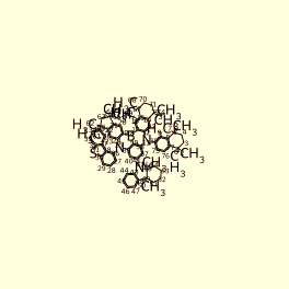 CC1(C)CCC(C)(C)c2cc(N3c4cc5c(cc4B4c6cc7c(cc6N(c6cccc8sc9ccccc9c68)c6cc(N8c9ccccc9C9(C)CCCCC89C)cc3c64)C(C)(C)CC7(C)C)C(C)(C)CCC5(C)C)ccc21